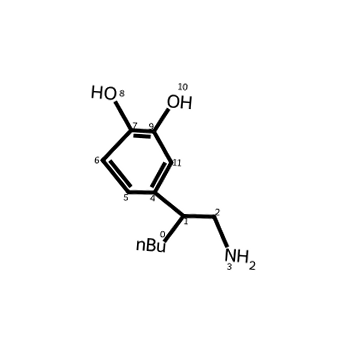 CCCCC(CN)c1ccc(O)c(O)c1